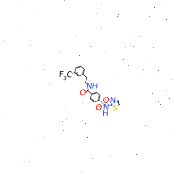 O=C(NCCc1cccc(C(F)(F)F)c1)c1ccc(S(=O)(=O)Nc2nccs2)cc1